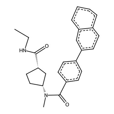 CCNC(=O)[C@H]1CC[C@@H](N(C)C(=O)c2ccc(-c3ccc4ccccc4c3)cc2)C1